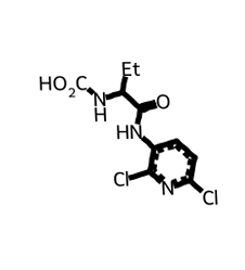 CCC(NC(=O)O)C(=O)Nc1ccc(Cl)nc1Cl